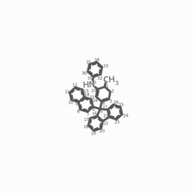 CC1CC=C(C2(c3ccc4ccccc4c3)c3ccccc3-c3ccccc32)C=C1Nc1ccccc1